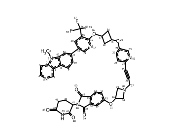 Cn1c2ccncc2c2ccc(-c3cnc(OC4CC(Oc5ccc(C#CCN6CC(Oc7ccc8c(c7)C(=O)N(C7CCC(=O)NC7=O)C8=O)C6)nc5)C4)c(C(F)(F)F)c3)cc21